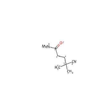 CNC(=O)CCC(C)(C)C#N